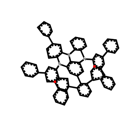 c1ccc(-c2cc(-c3ccccc3)cc(N3c4ccccc4B4c5cc(-c6ccccc6)ccc5N(c5cc(-c6ccccc6)cc(-c6ccccc6)c5)c5cc(-c6c(-c7ccccc7)cccc6-c6ccccc6)cc3c54)c2)cc1